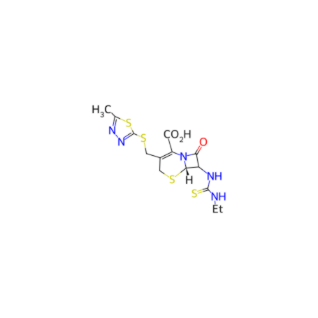 CCNC(=S)NC1C(=O)N2C(C(=O)O)=C(CSc3nnc(C)s3)CS[C@@H]12